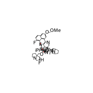 [2H]C1(F)CN2CCCC2(COc2nc(N3CC4CCC(C3)N4C(=O)O)c3cnc(-c4cc(OCOC)cc5ccc(F)c(C#C[Si](C(C)C)(C(C)C)C(C)C)c45)c(F)c3n2)C1